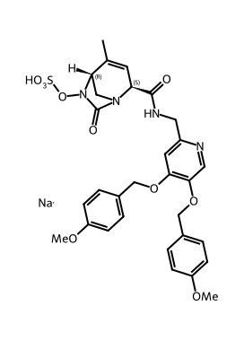 COc1ccc(COc2cnc(CNC(=O)[C@@H]3C=C(C)[C@@H]4CN3C(=O)N4OS(=O)(=O)O)cc2OCc2ccc(OC)cc2)cc1.[Na]